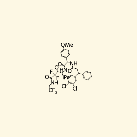 COc1ccc([C@H](NC(=O)CC(c2ccccc2)c2ccc(Cl)c(Cl)c2)C(=O)N[C@H](C(=O)C(F)(F)C(=O)NCC(F)(F)F)C(C)C)cc1